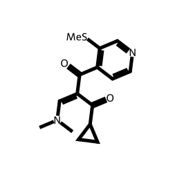 CSc1cnccc1C(=O)C(=CN(C)C)C(=O)C1CC1